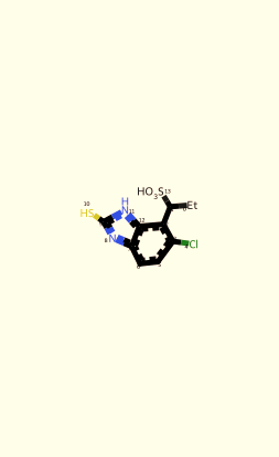 CCC(c1c(Cl)ccc2nc(S)[nH]c12)S(=O)(=O)O